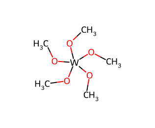 C[O][W]([O]C)([O]C)([O]C)[O]C